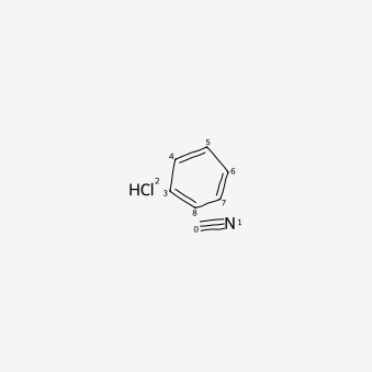 C#N.Cl.c1ccccc1